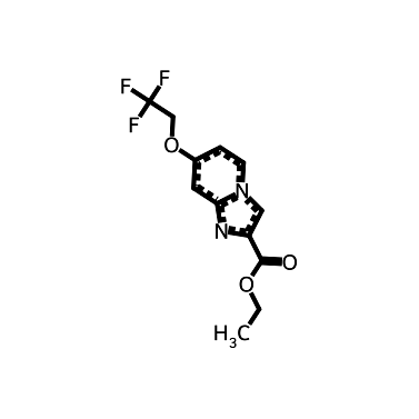 CCOC(=O)c1cn2ccc(OCC(F)(F)F)cc2n1